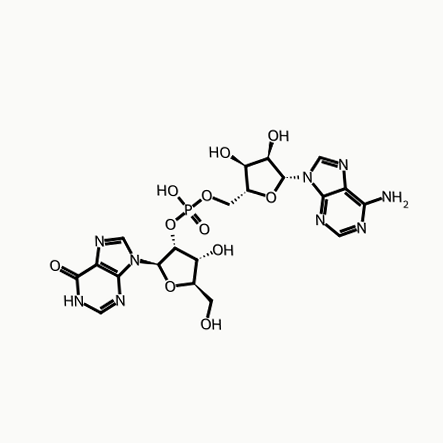 Nc1ncnc2c1ncn2[C@@H]1O[C@H](COP(=O)(O)O[C@@H]2[C@H](O)[C@@H](CO)O[C@H]2n2cnc3c(=O)[nH]cnc32)[C@@H](O)[C@H]1O